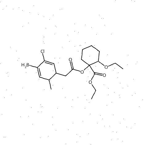 BC1=CC(C)C(CC(=O)OC2(C(=O)OCC)CCCCC2OCC)C=C1Cl